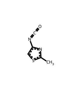 Cc1nc(N=C=O)cs1